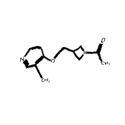 CC(=O)N1CC(COc2ccncc2C)C1